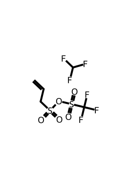 C=CCS(=O)(=O)OS(=O)(=O)C(F)(F)F.FC(F)F